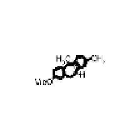 COc1ccc2c(c1)C[C@H]1N[C@]2(C)c2ccc(C)cc21